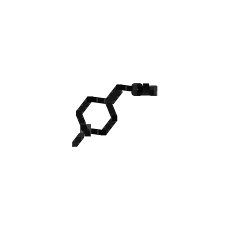 CC(=O)OC=C1CCN(C)CC1